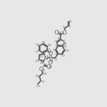 C=CCOC(=O)c1cc2cc(CP(=O)(Oc3ccccc3)N3CCC[C@H]3C(=O)OCCCC)ccc2s1